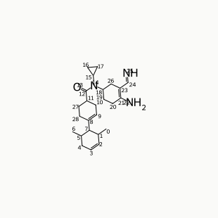 CC1C=CCC(C)C1C1=CCC(C(=O)N(C2CC2)C2CCC(N)=C(C=N)C2)CC1